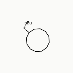 CCCCSC1CCCCCCCCCCC1